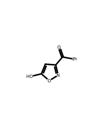 CC(C)C(=O)c1cc(O)on1